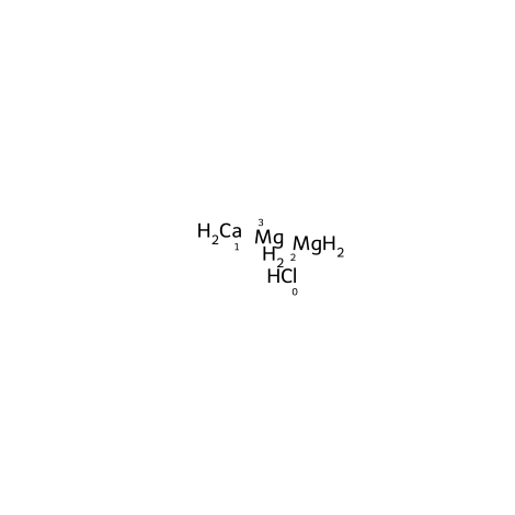 Cl.[CaH2].[MgH2].[MgH2]